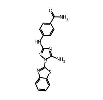 NC(=O)c1ccc(Nc2nc(N)n(-c3nc4ccccc4s3)n2)cc1